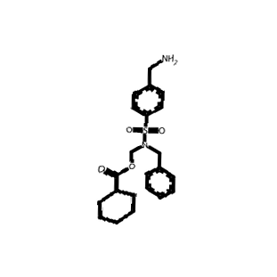 NCc1ccc(S(=O)(=O)N(COC(=O)C2CCCCC2)Cc2ccccc2)cc1